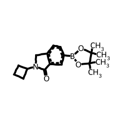 CC1(C)OB(c2ccc3c(c2)C(=O)N(C2CCC2)C3)OC1(C)C